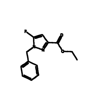 CCOC(=O)c1cc(F)n(Cc2ccccc2)n1